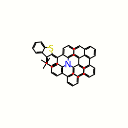 CC(C)(C)c1ccc(-c2ccccc2)c(N(c2ccccc2-c2cccc3c2sc2ccccc23)c2ccccc2-c2cccc3cccc(-c4ccccc4)c23)c1